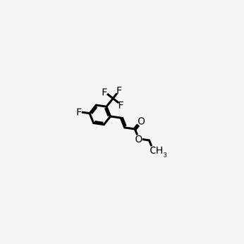 CCOC(=O)C=Cc1ccc(F)cc1C(F)(F)F